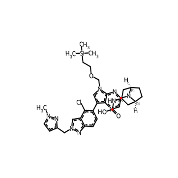 Cn1ccc(Cn2cc3c(Cl)c(-c4cn(COCC[Si](C)(C)C)c5nc(N6[C@@H]7CC[C@H]6C[C@@H](NC(=O)O)C7)cnc45)ccc3n2)n1